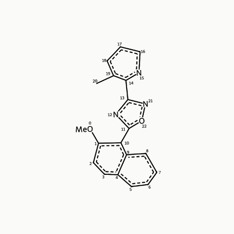 COc1ccc2ccccc2c1-c1nc(-c2ncccc2C)no1